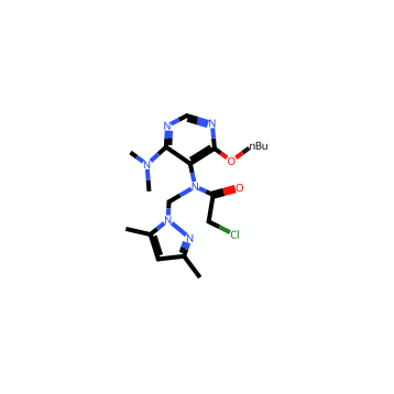 CCCCOc1ncnc(N(C)C)c1N(Cn1nc(C)cc1C)C(=O)CCl